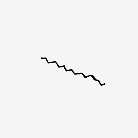 [CH2][CH]CC=CCCCCCCCCCCC